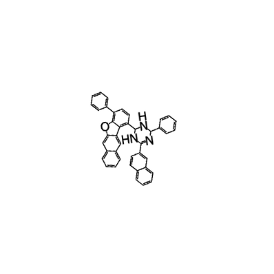 c1ccc(-c2ccc(C3NC(c4ccc5ccccc5c4)=NC(c4ccccc4)N3)c3c2oc2cc4ccccc4cc23)cc1